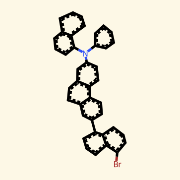 Brc1cccc2c(-c3ccc4c(ccc5cc(N(c6ccccc6)c6cccc7ccccc67)ccc54)c3)cccc12